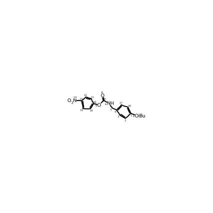 CC(C)COc1ccc(CNC(=O)Oc2ccc([N+](=O)[O-])cc2)cc1